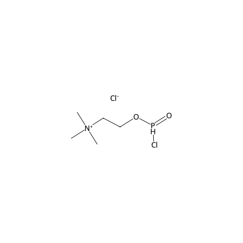 C[N+](C)(C)CCO[PH](=O)Cl.[Cl-]